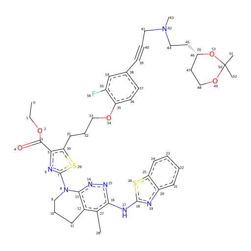 CCOC(=O)c1nc(N2CCCc3c2nnc(Nc2nc4ccccc4s2)c3C)sc1CCCOc1ccc(C#CCN(C)CC[C@H]2CCOC(C)(C)O2)cc1F